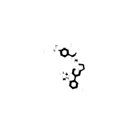 Cc1ccc(-n2cnnn2)c(-c2cc3n(c(=O)c2)[C@H](c2nc(-c4ccc(N(C)C(=O)O)cc4)c(C)o2)CC3)c1